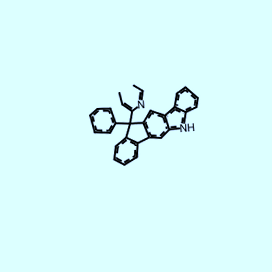 C/C=N\C(=C/C)C1(c2ccccc2)c2ccccc2-c2cc3[nH]c4ccccc4c3cc21